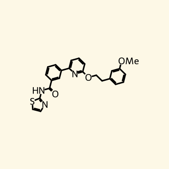 COc1cccc(CCOc2cccc(-c3cccc(C(=O)Nc4nccs4)c3)n2)c1